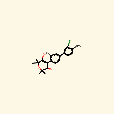 CCc1cc(-c2ccc(OC)c(Cl)c2)ccc1C1=C(O)C(C)(C)OC(C)(C)C1=O